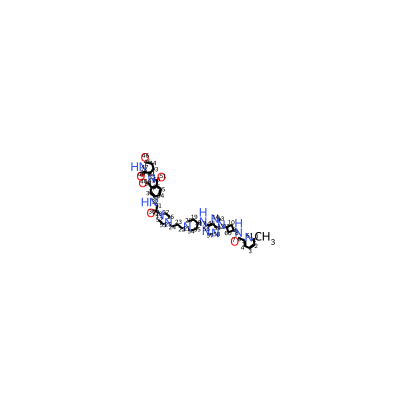 Cc1cccc(C(=O)NC2CC(n3cnc4c(NC5CCN(CCCN6CCN(C(=O)CNc7ccc8c(c7)C(=O)N([C@H]7CCC(=O)NC7=O)C8=O)CC6)CC5)ncnc43)C2)n1